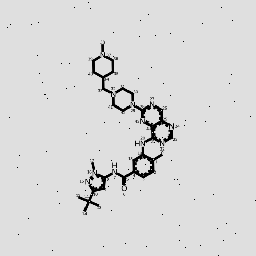 Cc1ccc(C(=O)Nc2cc(C(C)(C)C)nn2C)cc1Nc1ncnc2cnc(N3CCN(CC4CCN(C)CC4)CC3)nc12